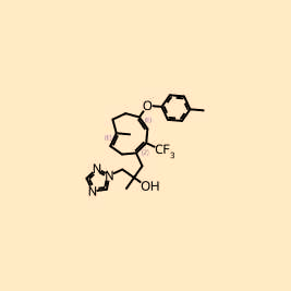 C/C1=C\C/C(CC(C)(O)Cn2cncn2)=C(C(F)(F)F)\C=C(\Oc2ccc(C)cc2)CC1